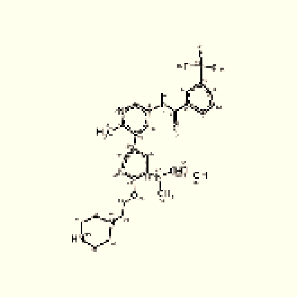 Cc1ncc(NC(=O)c2cccc(C(F)(F)F)c2)cc1-c1cnc(OCCN2CCNCC2)c(N(C)C)c1.Cl.Cl